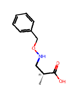 C[C@H](CNOCc1ccccc1)C(=O)O